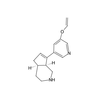 C=COc1cncc(C2=CC[C@@H]3CCNC[C@H]23)c1